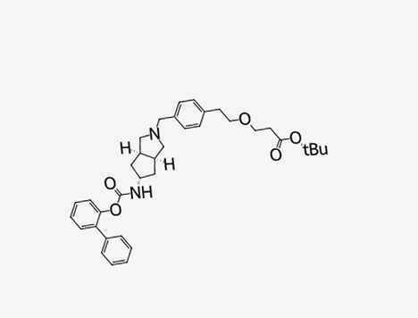 CC(C)(C)OC(=O)CCOCCc1ccc(CN2C[C@H]3C[C@H](NC(=O)Oc4ccccc4-c4ccccc4)C[C@H]3C2)cc1